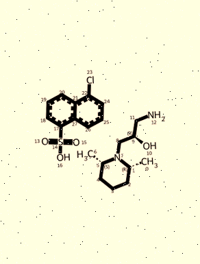 C[C@@H]1CCC[C@H](C)N1C[C@H](O)CN.O=S(=O)(O)c1cccc2c(Cl)cccc12